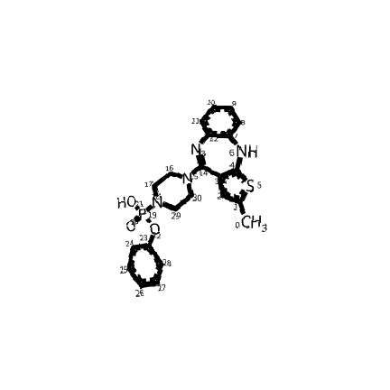 Cc1cc2c(s1)Nc1ccccc1N=C2N1CCN(P(=O)(O)Oc2ccccc2)CC1